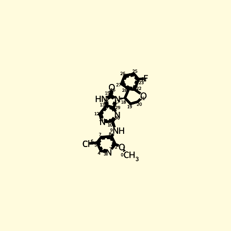 COc1ncc(Cl)cc1Nc1ncc2[nH]c(=O)n([C@@H]3CCOc4c(F)cccc43)c2n1